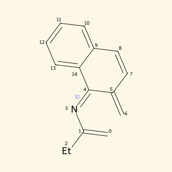 C=C(CC)/N=C1\C(=C)C=Cc2ccccc21